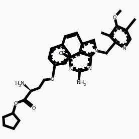 COc1c(C)cnc(Cn2cc(/C=C\c3ccc(OCC[C@H](N)C(=O)OC4CCCC4)cc3)c3c(Cl)nc(N)nc32)c1C